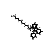 CCCCCC[CH]CCCCC(N)OC(c1ccccc1)(c1ccccc1)c1ccccc1